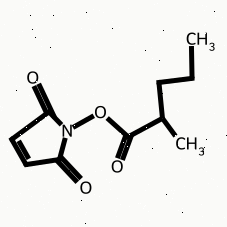 CCCC(C)C(=O)ON1C(=O)C=CC1=O